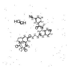 CCN1C(=O)C(C)(C)C(=O)N(C)c2cc(OCCCN(CCN(C)C(=O)c3cccc(C#N)c3)Cc3ccncc3)ccc21.Cl.Cl